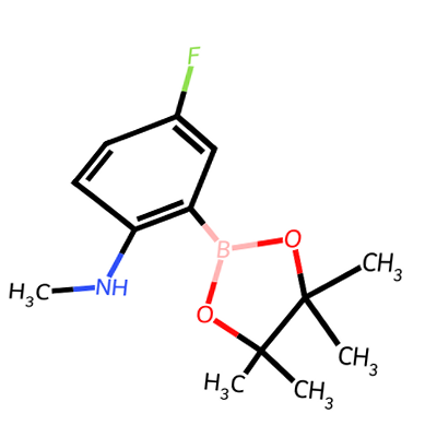 CNc1ccc(F)cc1B1OC(C)(C)C(C)(C)O1